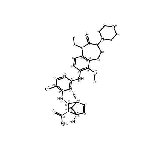 CCN1C(=O)C(N2CCOCC2)CCc2c1ccc(Nc1ncc(Cl)c(N[C@H]3[C@@H](C(N)=O)[C@@H]4C=C[C@H]3C4)n1)c2OC